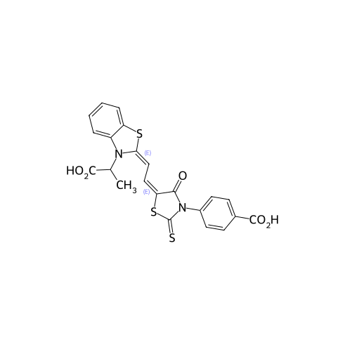 CC(C(=O)O)N1/C(=C\C=C2\SC(=S)N(c3ccc(C(=O)O)cc3)C2=O)Sc2ccccc21